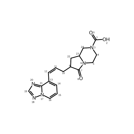 O=C(O)N1CCN2C(=O)C(C/C=C\c3cccn4ncnc34)CC2C1